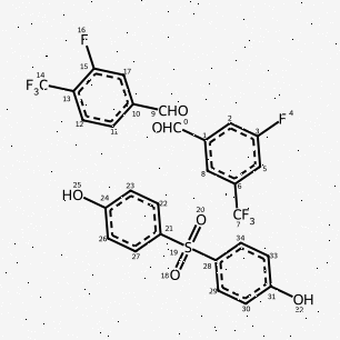 O=Cc1cc(F)cc(C(F)(F)F)c1.O=Cc1ccc(C(F)(F)F)c(F)c1.O=S(=O)(c1ccc(O)cc1)c1ccc(O)cc1